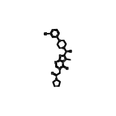 Cc1c(C(=O)N2CCN(c3cccc(Cl)c3)CC2)sc2ncn(CC(=O)N3CCCC3)c(=O)c12